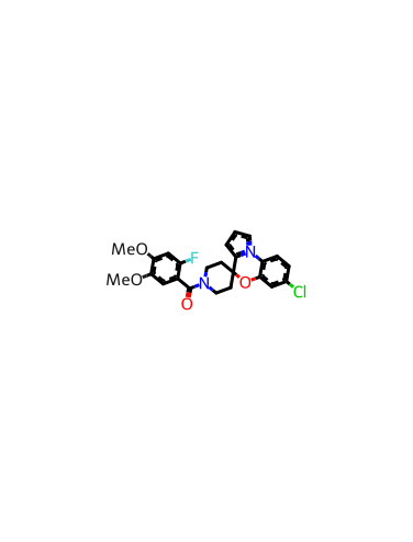 COc1cc(F)c(C(=O)N2CCC3(CC2)Oc2cc(Cl)ccc2-n2cccc23)cc1OC